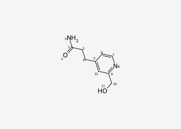 NC(=O)C[CH]c1ccnc(CO)c1